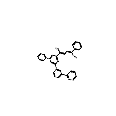 C/C(=C\C=C(/C)c1cc(-c2ccccc2)cc(-c2cccc(-c3ncccn3)c2)n1)c1ccccc1